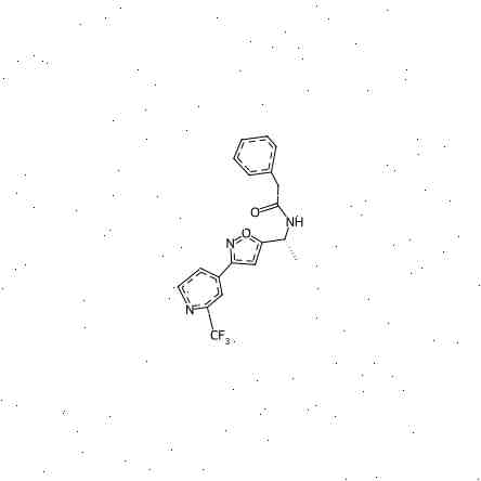 C[C@@H](NC(=O)Cc1ccccc1)c1cc(-c2ccnc(C(F)(F)F)c2)no1